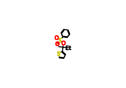 CCC(C)(OS(=O)(=O)c1ccccc1)c1cccs1